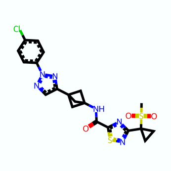 CS(=O)(=O)C1(c2nsc(C(=O)NC34CC(c5cnn(-c6ccc(Cl)cc6)n5)(C3)C4)n2)CC1